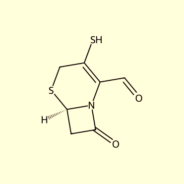 O=CC1=C(S)CS[C@@H]2CC(=O)N12